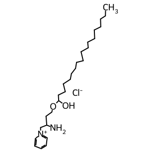 CCCCCCCCCCCCCCCCCC(O)OCCC(N)C[n+]1ccccc1.[Cl-]